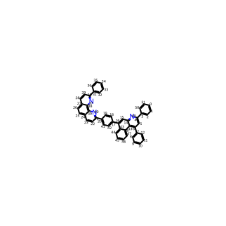 c1ccc(-c2cc(-c3ccccc3)c3c(cc(-c4ccc(-c5ccc6ccc7ccc(-c8ccccc8)nc7c6n5)cc4)c4ccccc43)n2)cc1